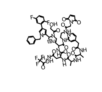 CC(NC(=O)Cc1ccncc1)C(=O)NC(C)C(=O)NC(CC(N)=O)C(=O)NC(CCN(C(=O)CO)C(c1cc(-c2cc(F)ccc2F)cn1Cc1ccccc1)C(C)(C)C)C(=O)NCCNC(=O)CN1C(=O)C=CC1=O.O=C(O)C(F)(F)F